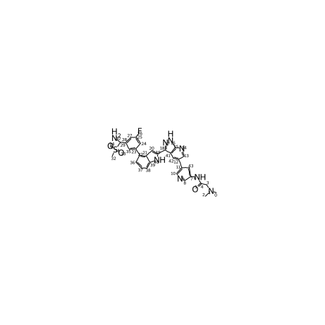 CN(C)CC(=O)Nc1cncc(-c2cnc3[nH]nc(-c4cc5c(-c6cc(F)cc(C(N)S(C)(=O)=O)c6)cccc5[nH]4)c3c2)c1